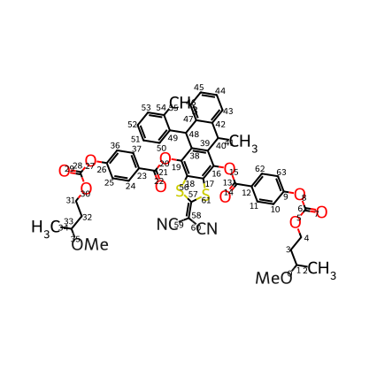 COC(C)CCOC(=O)Oc1ccc(C(=O)Oc2c3c(c(OC(=O)c4ccc(OC(=O)OCCC(C)OC)cc4)c4c2C(C)c2ccccc2C4c2ccccc2C)SC(=C(C#N)C#N)S3)cc1